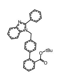 CC(C)(C)OC(=O)c1ccccc1-c1ccc(Cn2c(-c3ccccc3)nc3ccccc32)cc1